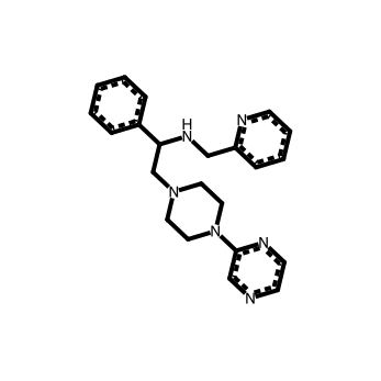 c1ccc(C(CN2CCN(c3cnccn3)CC2)NCc2ccccn2)cc1